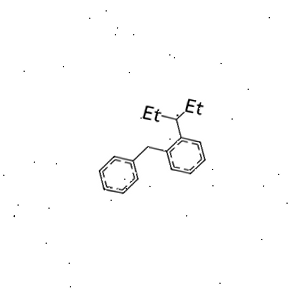 CC[C](CC)c1ccccc1Cc1ccccc1